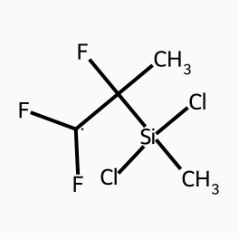 CC(F)([C](F)F)[Si](C)(Cl)Cl